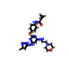 Cc1cc(Nc2cc(NCCN3CCOCC3)nc(Sc3ccc(NC(=O)C4CC4)cc3)n2)[nH]n1